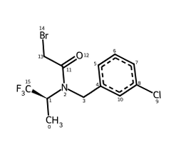 C[C@H](N(Cc1cccc(Cl)c1)C(=O)CBr)C(F)(F)F